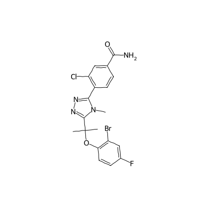 Cn1c(-c2ccc(C(N)=O)cc2Cl)nnc1C(C)(C)Oc1ccc(F)cc1Br